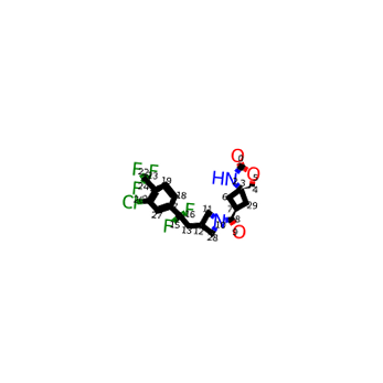 O=C1N[C@]2(CO1)C[C@H](C(=O)N1CC(CC(F)(F)c3ccc(C(F)(F)F)c(Cl)c3)C1)C2